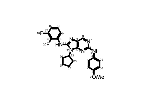 COc1ccc(Nc2ncc3nc(Nc4cccc(F)c4F)n(C4CCCC4)c3n2)cc1